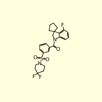 O=C(c1cccc(S(=O)(=O)N2CCC(F)(F)CC2)c1)N1CC2(CCCC2)c2c(F)cccc21